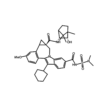 COc1ccc2c(c1)C1C[C@]1(C(=O)N[C@@H]1C3CCC(C)([C@@H]1O)C3(C)C)Cn1c-2c(C2CCCCC2)c2ccc(C(=O)NS(=O)(=O)N(C)C)cc21